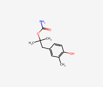 Cc1cc(CC(C)(C)OC(N)=O)ccc1O